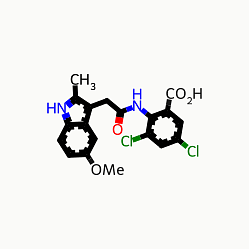 COc1ccc2[nH]c(C)c(CC(=O)Nc3c(Cl)cc(Cl)cc3C(=O)O)c2c1